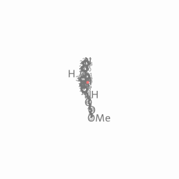 COCCOCCOCCNC1CCC2=CC3=CC[C@]4(C)C(c5ccc6ccncc6c5)CC[C@H]4[C@@]34CC[C@]2(C1)O4